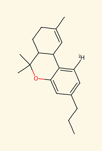 [2H]c1cc(CCC)cc2c1C1C=C(C)CCC1C(C)(C)O2